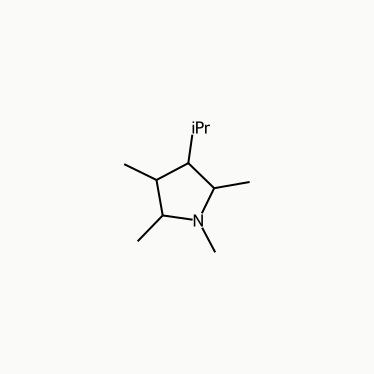 CC(C)C1C(C)C(C)N(C)C1C